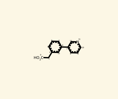 O=C(O)Cc1cccc(-c2c[c]cnc2)c1